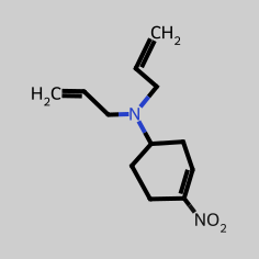 C=CCN(CC=C)C1CC=C([N+](=O)[O-])CC1